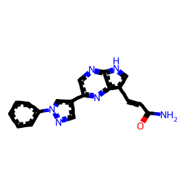 NC(=O)C=Cc1c[nH]c2ncc(-c3cnn(-c4ccccc4)c3)nc12